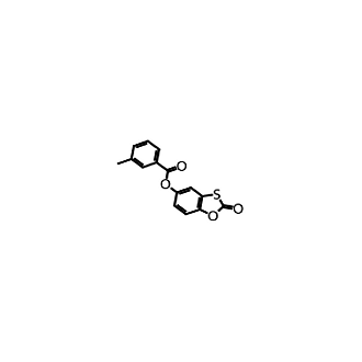 Cc1cccc(C(=O)Oc2ccc3oc(=O)sc3c2)c1